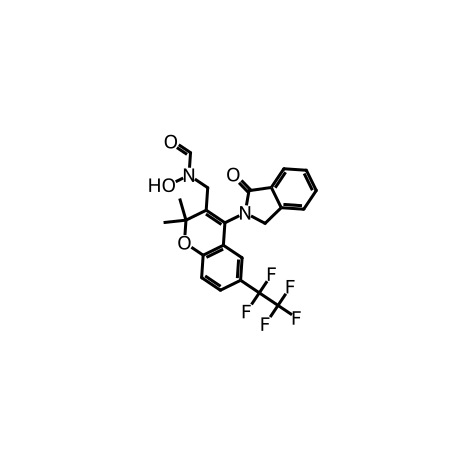 CC1(C)Oc2ccc(C(F)(F)C(F)(F)F)cc2C(N2Cc3ccccc3C2=O)=C1CN(O)C=O